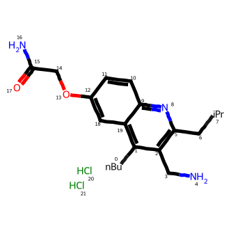 CCCCc1c(CN)c(CC(C)C)nc2ccc(OCC(N)=O)cc12.Cl.Cl